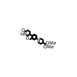 COC(OC)C1CCN(c2ccc(C3CCC(=O)NC3=O)c(C)c2)CC1